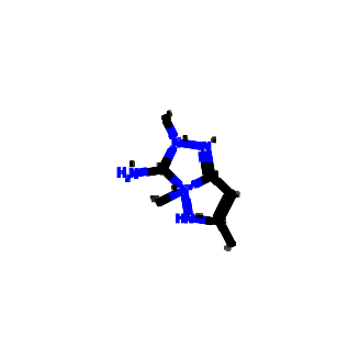 CC1=CC2=NN(C)C(N)[N+]2(C)N1